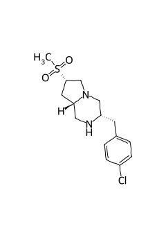 CS(=O)(=O)[C@H]1C[C@H]2CN[C@@H](Cc3ccc(Cl)cc3)CN2C1